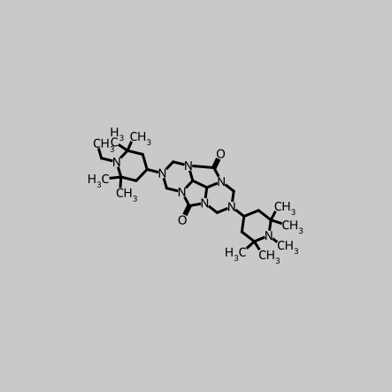 CCN1C(C)(C)CC(N2CN3C(=O)N4CN(C5CC(C)(C)N(C)C(C)(C)C5)CN5C(=O)N(C2)C3C45)CC1(C)C